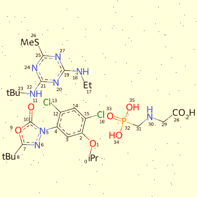 CC(C)Oc1cc(-n2nc(C(C)(C)C)oc2=O)c(Cl)cc1Cl.CCNc1nc(NC(C)(C)C)nc(SC)n1.O=C(O)CNCP(=O)(O)O